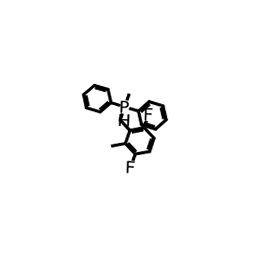 Cc1c(F)ccc(F)c1C[PH](C)(c1ccccc1)c1ccccc1